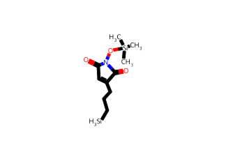 C[Si](C)(C)ON1C(=O)C=C(CCC[SiH3])C1=O